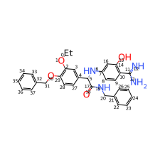 CCOc1cc([C@H](Nc2ccc(C(=N)N)c(O)c2)C(=O)NCc2ccccc2)ccc1OCc1ccccc1